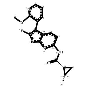 COc1ncccc1-c1c(F)[nH]c2nc(NC(=O)[C@@H]3C[C@@H]3F)ccc12